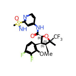 COc1c([C@H]2[C@H](C(=O)Nc3ccnc(S(C)(=N)=O)c3)O[C@@](C)(C(F)(F)F)[C@H]2C)ccc(F)c1F